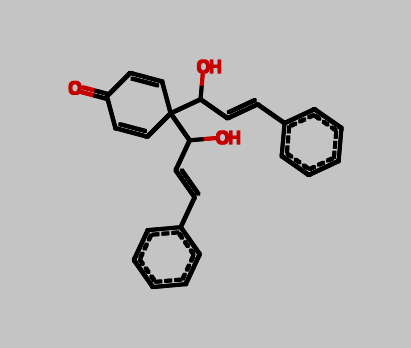 O=C1C=CC(C(O)/C=C/c2ccccc2)(C(O)/C=C/c2ccccc2)C=C1